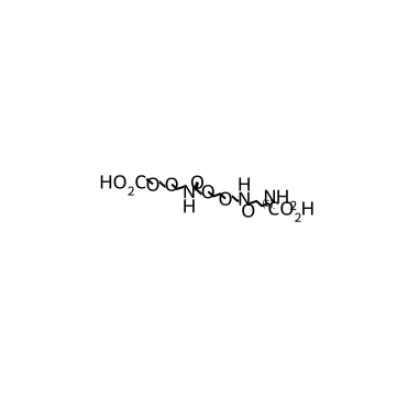 N[C@@H](CCC(=O)NCCOCCOCC(=O)NCCOCCOCC(=O)O)C(=O)O